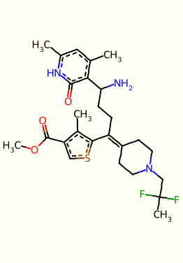 COC(=O)c1csc(C(CCC(N)c2c(C)cc(C)[nH]c2=O)=C2CCN(CC(C)(F)F)CC2)c1C